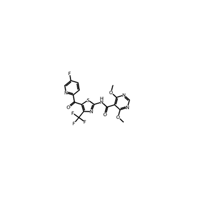 COc1ncnc(OC)c1C(=O)Nc1nc(C(F)(F)F)c(C(=O)c2ccc(F)cn2)s1